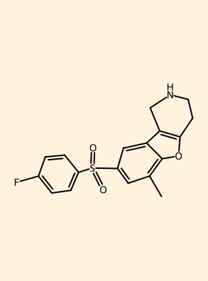 Cc1cc(S(=O)(=O)c2ccc(F)cc2)cc2c3c(oc12)CCNC3